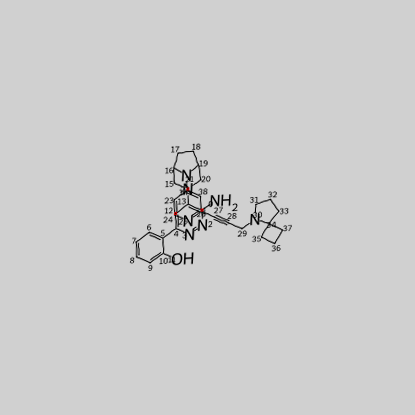 Nc1nnc(-c2ccccc2O)cc1N1CC2CCC(C1)N2c1ccnc(C#CCN2CCCC23CCC3)c1